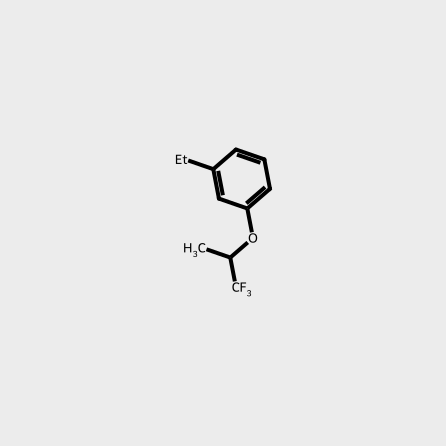 CCc1cccc(OC(C)C(F)(F)F)c1